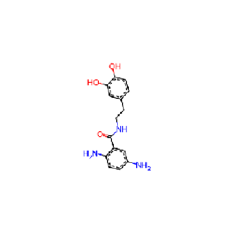 Nc1ccc(N)c(C(=O)NCCc2ccc(O)c(O)c2)c1